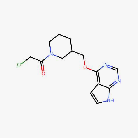 O=C(CCl)N1CCCC(COc2ncnc3[nH]ccc23)C1